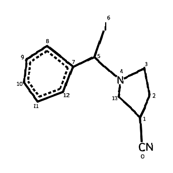 N#CC1CCN(C(I)c2ccccc2)C1